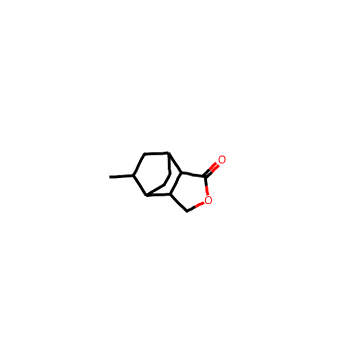 CC1CC2CCC1C1COC(=O)C21